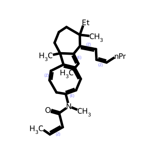 C/C=C\C(=O)N(C)/C1=C/C=C=C(C2(C)CCCC(C)(CC)C(=C/C=C\CCC)/C2=C/C)/C=C\C1